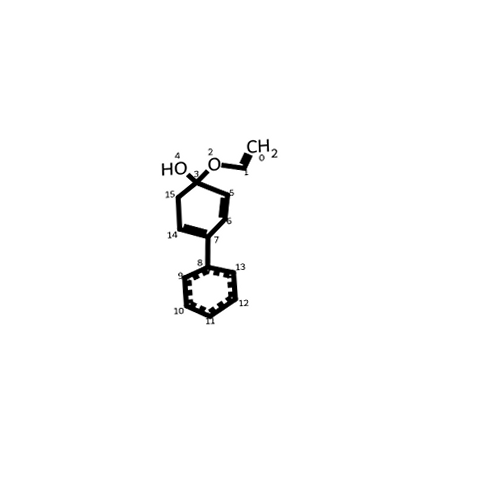 C=COC1(O)C=CC(c2ccccc2)=CC1